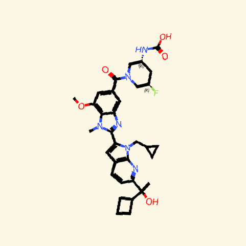 COc1cc(C(=O)N2C[C@H](F)C[C@@H](NC(=O)O)C2)cc2nc(-c3cc4ccc(C(C)(O)C5CCC5)nc4n3CC3CC3)n(C)c12